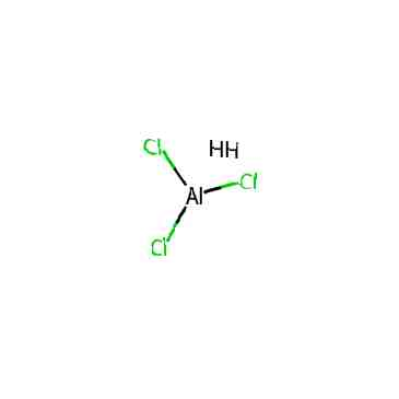 [Cl][Al]([Cl])[Cl].[HH]